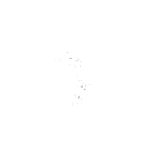 CCn1cc(S(=O)(=O)Nc2ccc(Oc3ccnc4cc(OC)c(OC)cc34)cc2F)cn1